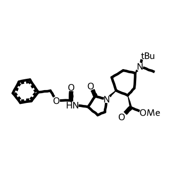 COC(=O)[C@@H]1C[C@H](N(C)C(C)(C)C)CC[C@@H]1N1CCC(NC(=O)OCc2ccccc2)C1=O